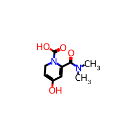 CN(C)C(=O)C1=CC(O)=CCN1C(=O)O